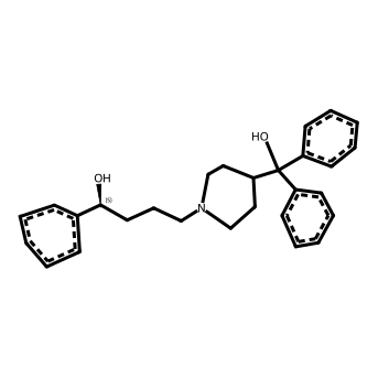 O[C@@H](CCCN1CCC(C(O)(c2ccccc2)c2ccccc2)CC1)c1ccccc1